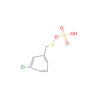 O=S(=O)(O)OSCc1cccc(Cl)c1